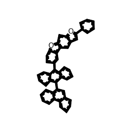 c1ccc(-c2cc3cc4c(cc3o2)oc2ccc(-c3c5ccccc5c(-c5cc6ccccc6c6ccccc56)c5ccccc35)cc24)cc1